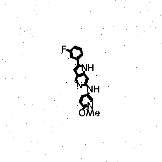 COc1ccc(Nc2cc3[nH]c(-c4cccc(F)c4)cc3cn2)cn1